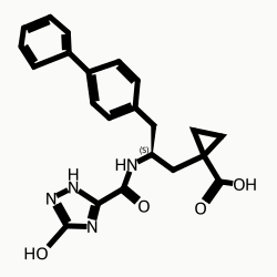 O=C(N[C@@H](Cc1ccc(-c2ccccc2)cc1)CC1(C(=O)O)CC1)c1nc(O)n[nH]1